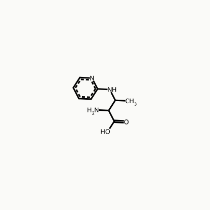 CC(Nc1ccccn1)C(N)C(=O)O